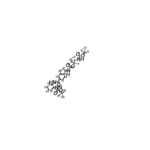 C/C=C\C(C)(CNC(=O)OC(C)(C)C)OC(=O)NC1CCc2cc(C(=O)Nc3ccccc3NC(=O)OC(C)(C)C)ccc21